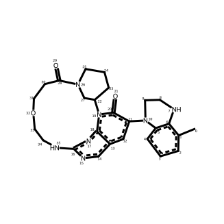 Cc1cccc2c1NCCN2c1cc2cnc3nc2n(c1=O)C1CCCN(C1)C(=O)CCOCCN3